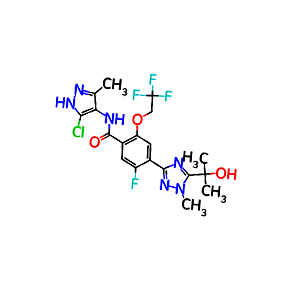 Cc1n[nH]c(Cl)c1NC(=O)c1cc(F)c(-c2nc(C(C)(C)O)n(C)n2)cc1OCC(F)(F)F